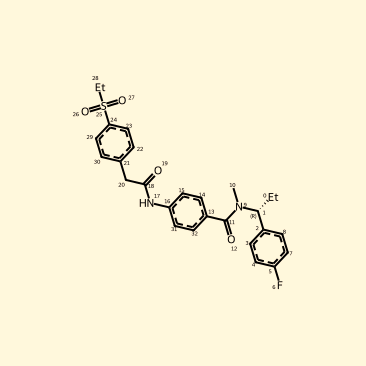 CC[C@H](c1ccc(F)cc1)N(C)C(=O)c1ccc(NC(=O)Cc2ccc(S(=O)(=O)CC)cc2)cc1